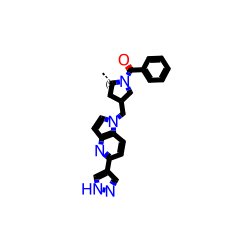 C[C@H]1CC(Cn2ccc3nc(-c4cn[nH]c4)ccc32)CN1C(=O)c1ccccc1